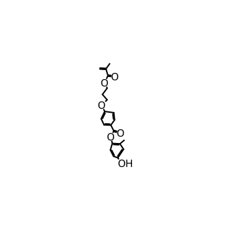 C=C(C)C(=O)OCCCOc1ccc(C(=O)Oc2ccc(O)cc2C)cc1